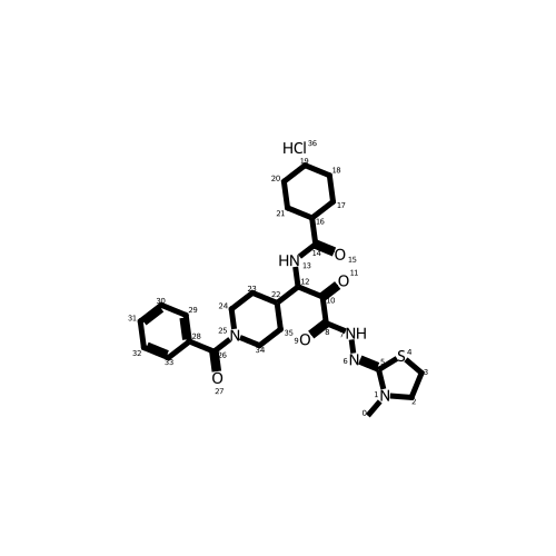 CN1CCS/C1=N\NC(=O)C(=O)C(NC(=O)C1CCCCC1)C1CCN(C(=O)c2ccccc2)CC1.Cl